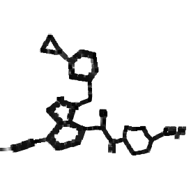 CC#Cc1ccc(C(=O)NC2CCC(C(=O)O)CC2)c2c1cnn2Cc1cccc(C2CC2)c1